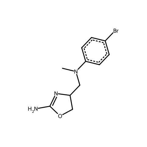 CN(CC1COC(N)=N1)c1ccc(Br)cc1